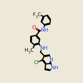 Cc1ccc(C(=O)Nc2cccc(C(F)(F)F)c2)cc1NCc1cnc2[nH]ccc2c1Cl